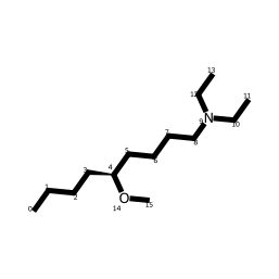 CCCC[C@@H](CCCCN(CC)CC)OC